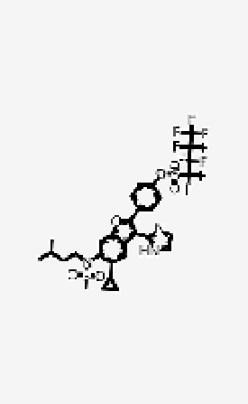 CC(C)CCN(c1cc2oc(-c3ccc(OS(=O)(=O)C(F)(F)C(F)(F)C(F)(F)C(F)(F)F)cc3)c(-c3ncc[nH]3)c2cc1C1CC1)S(C)(=O)=O